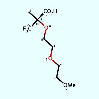 COCCOCCO[C@](C)(C(=O)O)C(F)(F)F